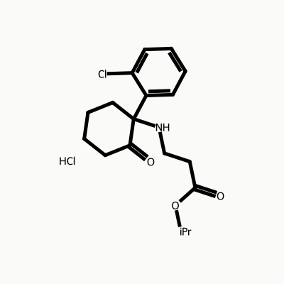 CC(C)OC(=O)CCNC1(c2ccccc2Cl)CCCCC1=O.Cl